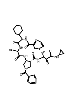 CCCC(NC(=O)[C@@H]1CN(C(=O)c2ccccc2)CC1NC(=O)C(NC(=O)[C@@H](NC(=O)c1cnccn1)C1CCCCC1)C(C)(C)C)C(=O)C(=O)NC1CC1